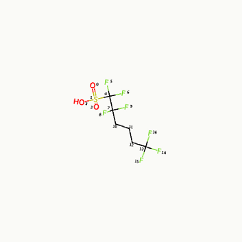 O=S(=O)(O)C(F)(F)C(F)(F)CCCC(F)(F)F